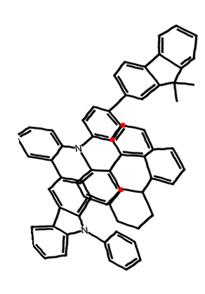 CC1(C)c2ccccc2-c2ccc(-c3ccc(N(c4ccccc4-c4ccc5c(c4)c4ccccc4n5-c4ccccc4)c4ccccc4-c4cccc5cccc(C6CCCCC6)c45)cc3)cc21